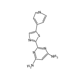 Nc1cc(N)nc(-c2ncc(-c3ccncc3)s2)n1